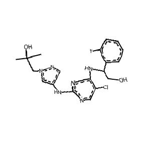 CC(C)(O)Cn1cc(Nc2ncc(Cl)c(NC(CO)c3ccccc3F)n2)cn1